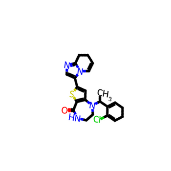 CC(C1=CCCC=C1Cl)N1CCNC(=O)c2sc(-c3cnc4n3C=CCC4)cc21